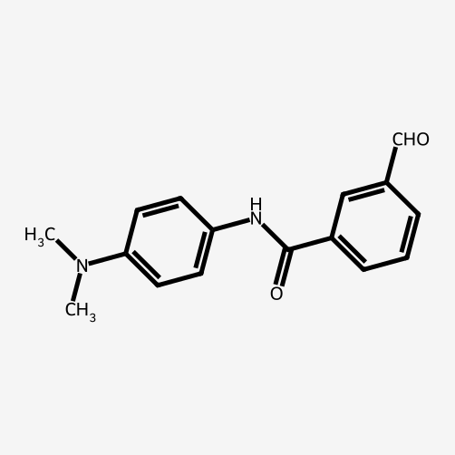 CN(C)c1ccc(NC(=O)c2cccc(C=O)c2)cc1